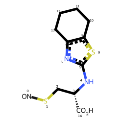 O=NSC[C@H](Nc1nc2c(s1)CCCC2)C(=O)O